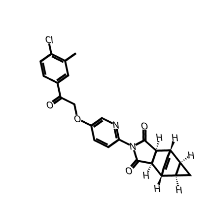 Cc1cc(C(=O)COc2ccc(N3C(=O)[C@@H]4[C@@H]5C=C[C@@H]([C@H]6C[C@@H]56)[C@@H]4C3=O)nc2)ccc1Cl